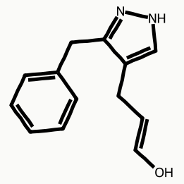 OC=CCc1c[nH]nc1Cc1ccccc1